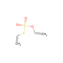 C=COS(=O)(=O)SC=C